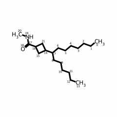 CCCCCCCC(CCCCCC)C1CC(C(=O)NC)C1